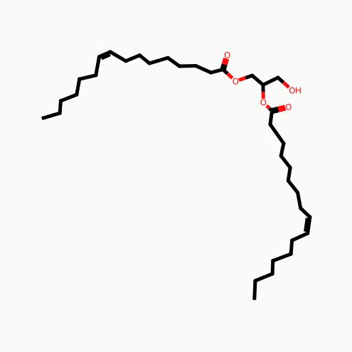 CCCCCC/C=C\CCCCCCCC(=O)OCC(CO)OC(=O)CCCCCCC/C=C\CCCCCC